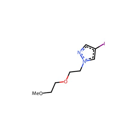 COCCOCCn1cc(I)cn1